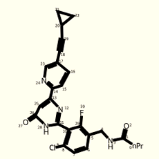 CCCC(=O)NCc1ccc(Cl)c(-c2nc(-c3ccc(C#CC4CC4)cn3)cc(=O)[nH]2)c1F